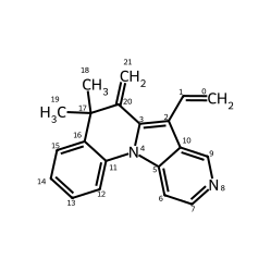 C=Cc1c2n(c3ccncc13)-c1ccccc1C(C)(C)C2=C